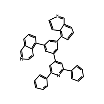 c1ccc(-c2cc(-c3cc(-c4cccc5cnccc45)cc(-c4cccc5cnccc45)c3)cc(-c3ccccc3)n2)cc1